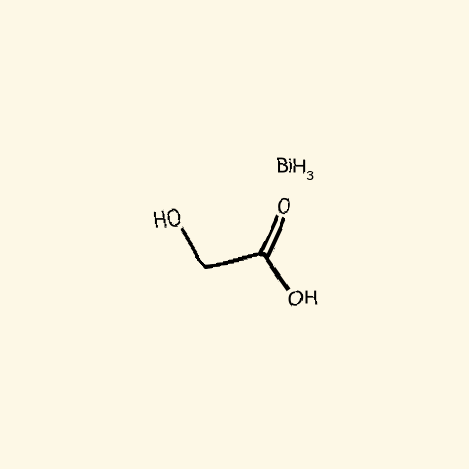 O=C(O)CO.[BiH3]